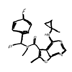 CCC(c1ccc(F)cc1)N(C)C(=O)c1c(C)oc2ncnc(NC3(C)CC3)c12